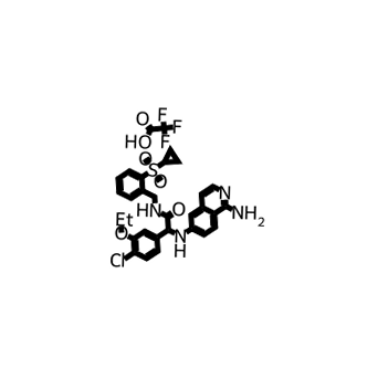 CCOc1cc(C(Nc2ccc3c(N)nccc3c2)C(=O)NCc2ccccc2S(=O)(=O)C2CC2)ccc1Cl.O=C(O)C(F)(F)F